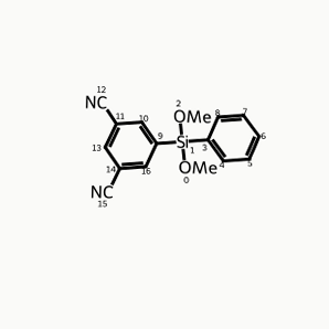 CO[Si](OC)(c1ccccc1)c1cc(C#N)cc(C#N)c1